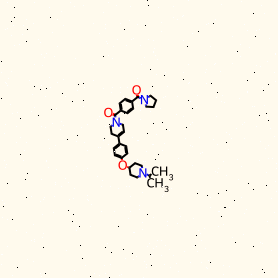 CC(C)N1CCC(Oc2ccc(C3=CCN(C(=O)c4ccc(C(=O)N5CCCC5)cc4)CC3)cc2)CC1